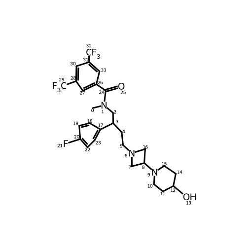 CN(CC(CCN1CC(N2CCC(O)CC2)C1)c1ccc(F)cc1)C(=O)c1cc(C(F)(F)F)cc(C(F)(F)F)c1